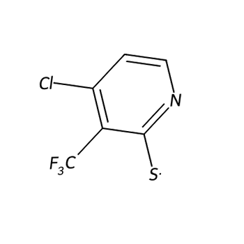 FC(F)(F)c1c(Cl)ccnc1[S]